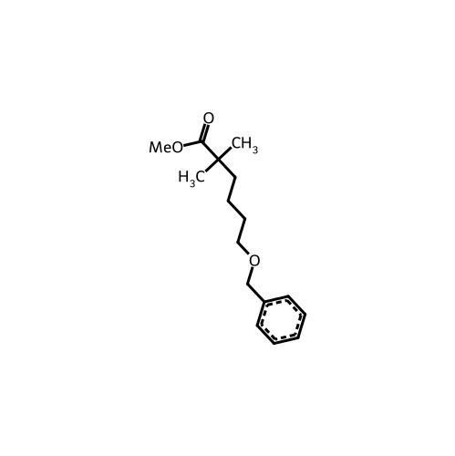 COC(=O)C(C)(C)CCCCOCc1ccccc1